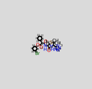 CC1(C)S[C@H]2C(NC(=O)C(C(=O)Oc3cccc(Br)c3)c3ccccc3)C(=O)N2C1c1nnn[nH]1